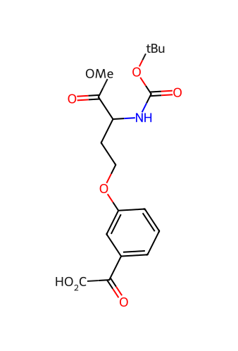 COC(=O)C(CCOc1cccc(C(=O)C(=O)O)c1)NC(=O)OC(C)(C)C